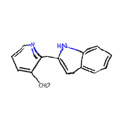 O=Cc1cccnc1-c1cc2ccccc2[nH]1